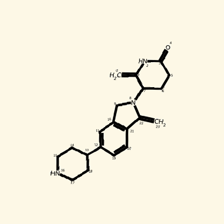 C=C1NC(=O)CCC1N1Cc2cc(C3CCNCC3)ccc2C1=C